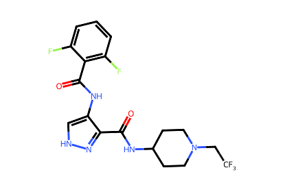 O=C(NC1CCN(CC(F)(F)F)CC1)c1n[nH]cc1NC(=O)c1c(F)cccc1F